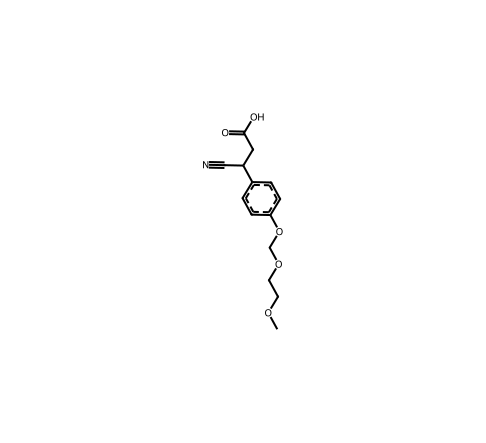 COCCOCOc1ccc(C(C#N)CC(=O)O)cc1